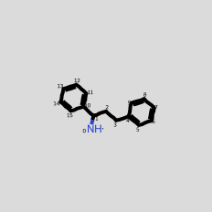 [NH]C(CCc1ccccc1)c1ccccc1